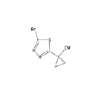 N#CC1(c2nnc(Br)s2)CC1